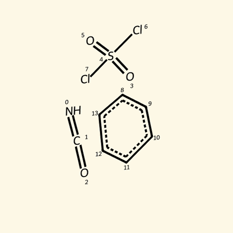 N=C=O.O=S(=O)(Cl)Cl.c1ccccc1